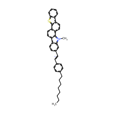 CCCCCCCCc1ccc(/C=C/c2ccc3c4ccc5c(ccc6c7ccccc7sc65)c4n(C)c3c2)cc1